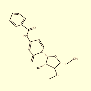 COC1[C@@H](CO)O[C@@H](n2ccc(NC(=O)c3ccccc3)nc2=O)[C@H]1O